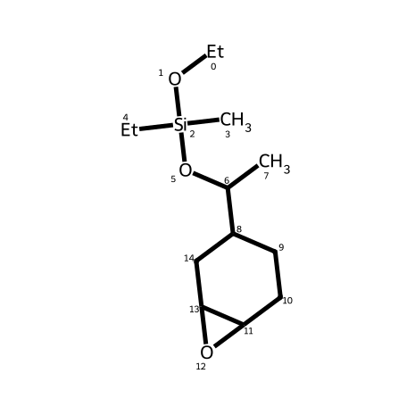 CCO[Si](C)(CC)OC(C)C1CCC2OC2C1